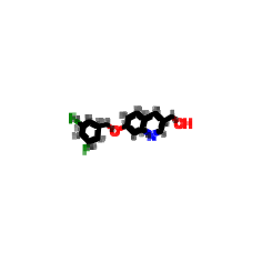 OCc1cnc2cc(OCc3cc(F)cc(F)c3)ccc2c1